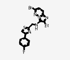 CCc1nc2ccc(Br)nn2c1NCc1nc(-c2ccc(F)cc2)cs1